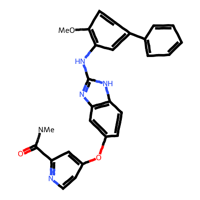 CNC(=O)c1cc(Oc2ccc3[nH]c(Nc4cc(-c5ccccc5)ccc4OC)nc3c2)ccn1